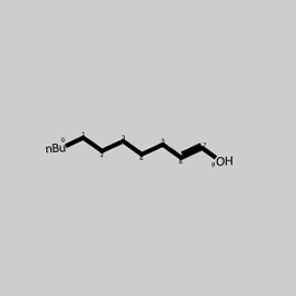 CCCCCCCCCC=CO